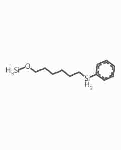 [SiH3]OCCCCCC[SiH2]c1ccccc1